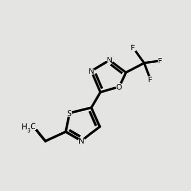 CCc1ncc(-c2nnc(C(F)(F)F)o2)s1